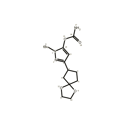 CC(C)(C)n1nc(C2CCC3(C2)OCCO3)cc1OC(N)=O